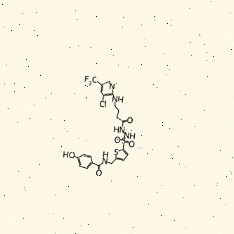 O=C(CCCNc1ncc(C(F)(F)F)cc1Cl)NNS(=O)(=O)c1ccc(CNC(=O)c2ccc(O)cc2)s1